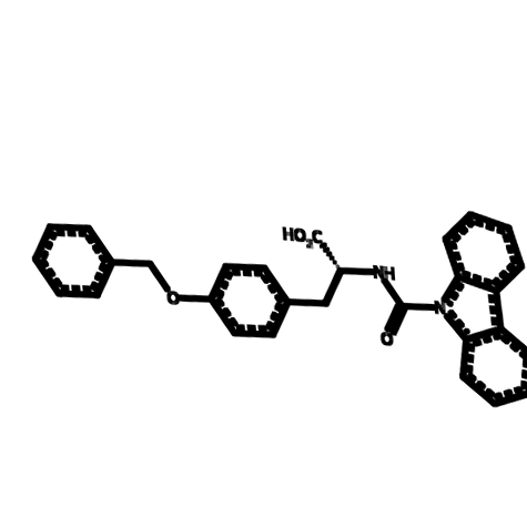 O=C(O)[C@@H](Cc1ccc(OCc2ccccc2)cc1)NC(=O)n1c2ccccc2c2ccccc21